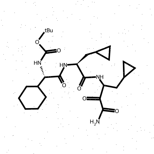 CC(C)(C)OC(=O)N[C@H](C(=O)N[C@@H](CC1CC1)C(=O)NC(CC1CC1)C(=O)C(N)=O)C1CCCCC1